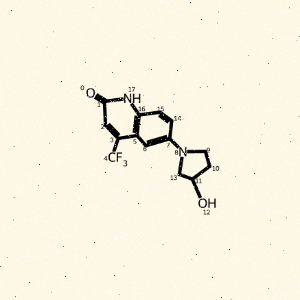 O=c1cc(C(F)(F)F)c2cc(N3CCC(O)C3)ccc2[nH]1